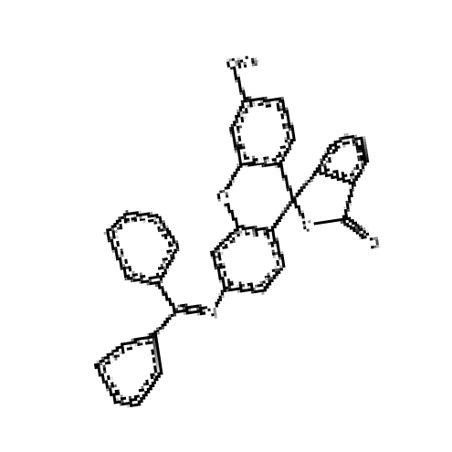 COc1ccc2c(c1)Oc1cc(N=C(c3ccccc3)c3ccccc3)ccc1C21OC(=O)c2ccccc21